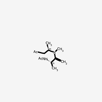 C=C([C@H](C)NC(C)=O)N(C)[C@H](C)CC(C)=O